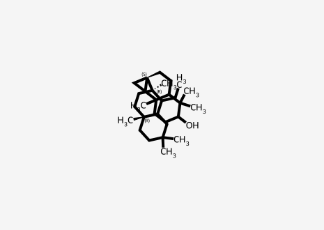 CCC1C2CC(C)(C)CC[C@]2(C)CC[C@@]1(C)[C@]12CCC3C(C)(C)C(O)CCC3(C)C1C2